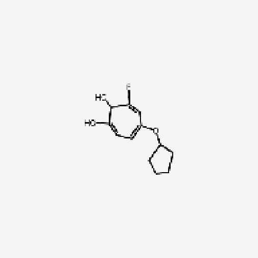 OC1=CC=C(OC2CCCC2)C=C(F)C1O